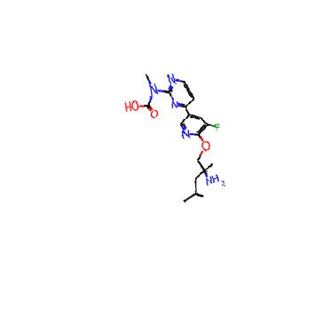 CC(C)C[C@@](C)(N)COc1ncc(-c2ccnc(N(C)C(=O)O)n2)cc1F